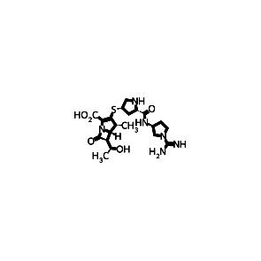 C[C@@H](O)[C@H]1C(=O)N2C(C(=O)O)=C(S[C@@H]3CN[C@H](C(=O)N[C@H]4CCN(C(=N)N)C4)C3)[C@H](C)[C@H]12